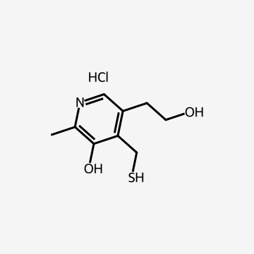 Cc1ncc(CCO)c(CS)c1O.Cl